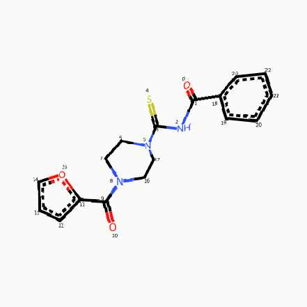 O=C(NC(=S)N1CCN(C(=O)c2ccco2)CC1)c1ccccc1